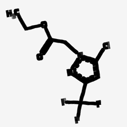 CCOC(=O)Cn1nc(C(F)(F)F)cc1Cl